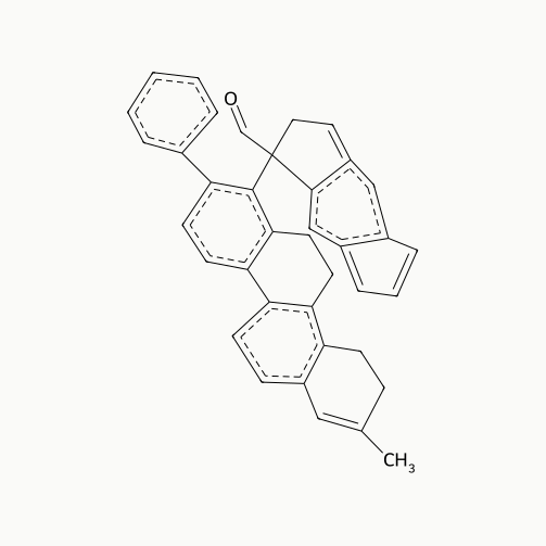 CC1=Cc2ccc3c(c2CC1)CCc1c-3ccc(-c2ccccc2)c1C1(C=O)CC=c2cc3c(cc21)=CC=C3